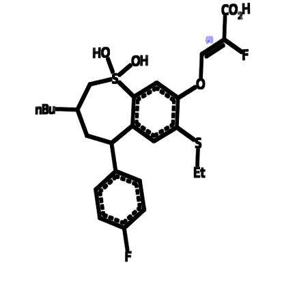 CCCCC1CC(c2ccc(F)cc2)c2cc(SCC)c(O/C=C(\F)C(=O)O)cc2S(O)(O)C1